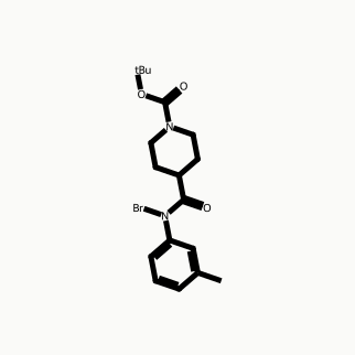 Cc1cccc(N(Br)C(=O)C2CCN(C(=O)OC(C)(C)C)CC2)c1